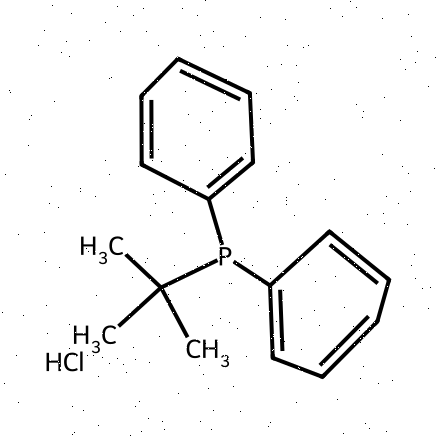 CC(C)(C)P(c1ccccc1)c1ccccc1.Cl